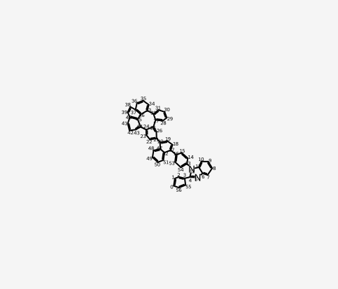 c1ccc(-c2nc3ccccc3n2-c2ccc(-c3ccc(-c4ccc5c(c4)c4ccccc4c4cccc6ccc7cccc5c7c64)c4ccccc34)cc2)cc1